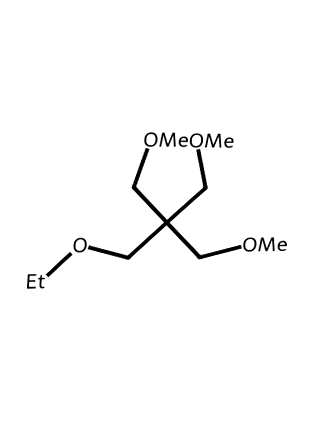 CCOCC(COC)(COC)COC